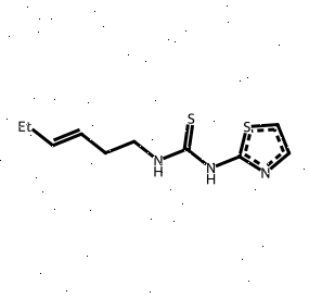 CCC=CCCNC(=S)Nc1nccs1